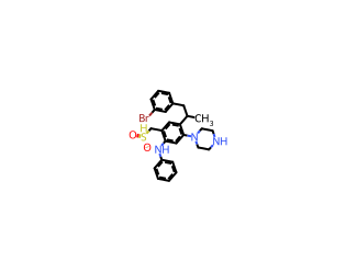 CC(Cc1cccc(Br)c1)c1cc(C[SH](=O)=O)c(Nc2ccccc2)cc1N1CCNCC1